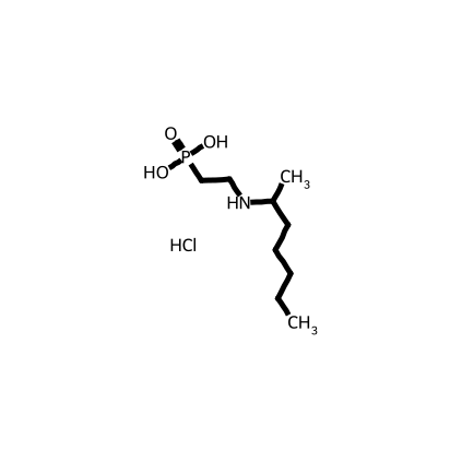 CCCCCC(C)NCCP(=O)(O)O.Cl